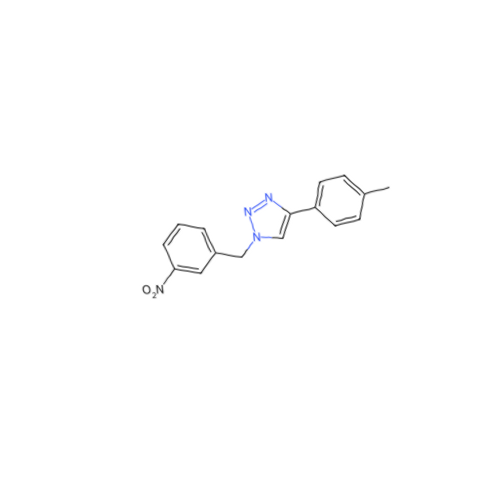 Cc1ccc(-c2cn(Cc3cccc([N+](=O)[O-])c3)nn2)cc1